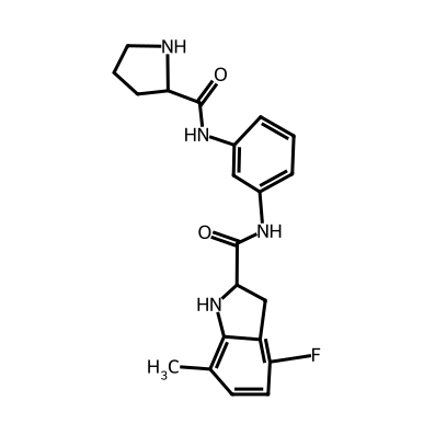 Cc1ccc(F)c2c1NC(C(=O)Nc1cccc(NC(=O)C3CCCN3)c1)C2